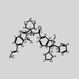 CC(=O)/C=C/c1ccc2nc(C3(NC(=O)c4ccc5c(C6CCCC6)c(-c6ccccn6)n(C)c5c4)COCOC3)n(C)c2c1